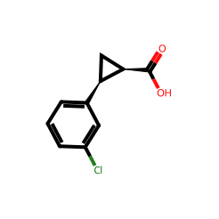 O=C(O)[C@@H]1C[C@@H]1c1cccc(Cl)c1